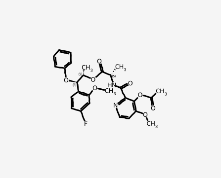 COc1cc(F)ccc1[C@@H](Oc1ccccc1)[C@H](C)OC(=O)[C@H](C)NC(=O)c1nccc(OC)c1OC(C)=O